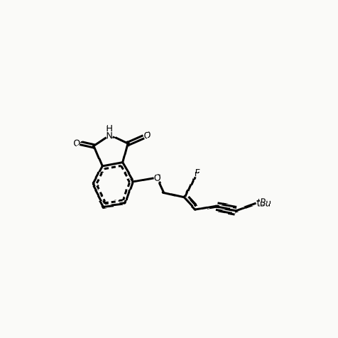 CC(C)(C)C#CC=C(F)COc1cccc2c1C(=O)NC2=O